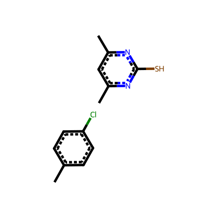 Cc1cc(C)nc(S)n1.Cc1ccc(Cl)cc1